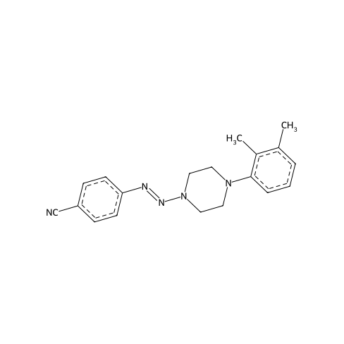 Cc1cccc(N2CCN(N=Nc3ccc(C#N)cc3)CC2)c1C